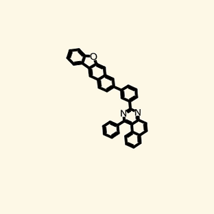 c1ccc(-c2nc(-c3cccc(-c4ccc5cc6c(cc5c4)oc4ccccc46)c3)nc3ccc4ccccc4c23)cc1